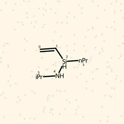 C=C[SiH](CCC)NC(C)C